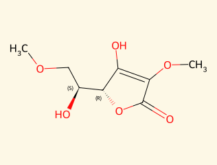 COC[C@H](O)[C@H]1OC(=O)C(OC)=C1O